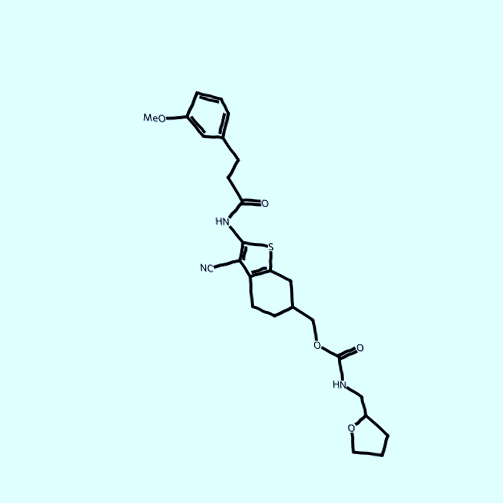 COc1cccc(CCC(=O)Nc2sc3c(c2C#N)CCC(COC(=O)NCC2CCCO2)C3)c1